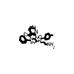 Cc1ccc(C(=O)N(CCCN)C(c2nc3nnccc3c(=O)n2Cc2ccccc2)C(C)C)cc1